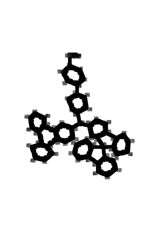 COc1ccc(-c2ccc(N(c3ccc4c(c3)C3(c5ccccc5-c5ccccc53)c3ccccc3-4)c3ccc4c5ccccc5c5ccccc5c4c3)cc2)cc1